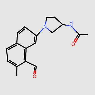 CC(=O)NC1CCN(c2ccc3ccc(C)c(C=O)c3c2)C1